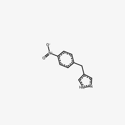 O=[N+]([O-])c1ccc(Cc2cn[nH]c2)cc1